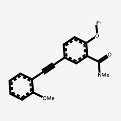 CNC(=O)c1cc(C#Cc2ccccc2OC)ccc1OC(C)C